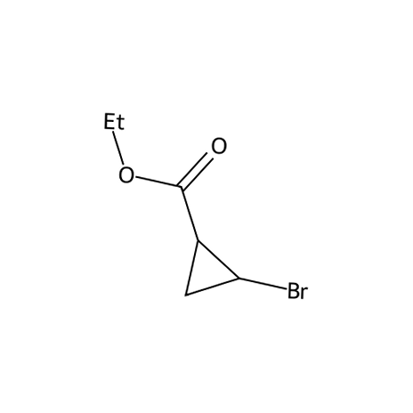 CCOC(=O)C1CC1Br